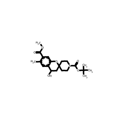 COC(=O)c1cc2c(cc1C)C(O)CC1(CCN(C(=O)OC(C)(C)C)CC1)O2